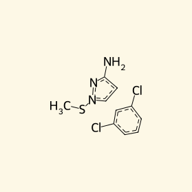 CSn1ccc(N)n1.Clc1cccc(Cl)c1